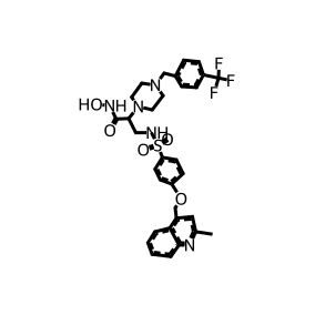 Cc1cc(COc2ccc(S(=O)(=O)NCC(C(=O)NO)N3CCN(Cc4ccc(C(F)(F)F)cc4)CC3)cc2)c2ccccc2n1